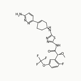 CO[C@H](C(=O)Nc1nnc(N[C@@H]2CC=C(c3ccc(N)nn3)CC2)s1)c1cc(OC(F)(F)F)ccc1F